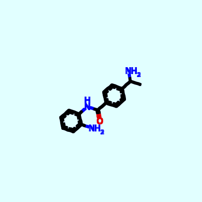 CC(N)c1ccc(C(=O)Nc2ccccc2N)cc1